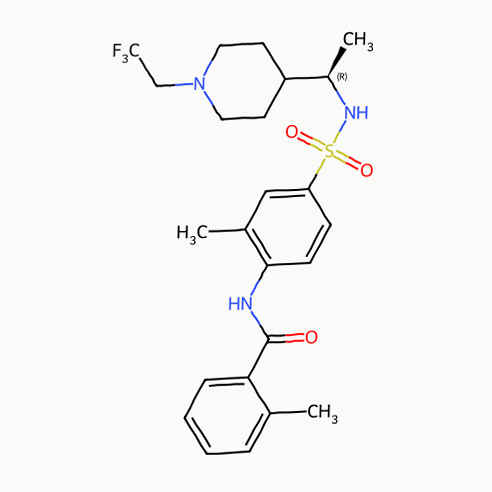 Cc1cc(S(=O)(=O)N[C@H](C)C2CCN(CC(F)(F)F)CC2)ccc1NC(=O)c1ccccc1C